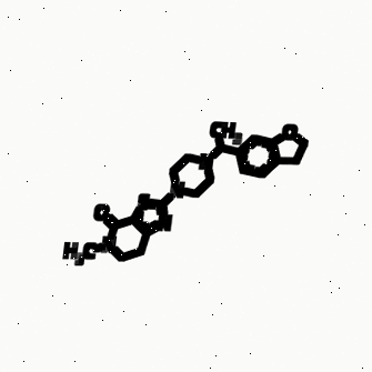 CC(c1ccc2c(c1)OCC2)N1CCN(c2nc3c(s2)C(=O)N(C)CC3)CC1